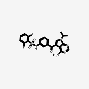 CC(C)n1cc(C(=O)c2cccc(NS(=O)(=O)c3c(F)cccc3F)c2)c2c(N)ncnc21